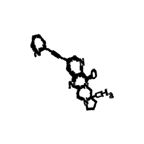 CC12CCCN1Cc1nc3cc(C#Cc4ccccn4)cnc3c(=O)n1C2